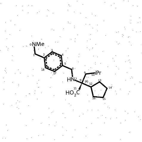 CNCc1ccc(CN[C@@](CC(C)C)(C(=O)O)C2CCCC2)cc1